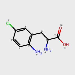 Nc1ccc(Cl)cc1CC(N)C(=O)O